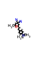 CC1=CC(C#N)(C#N)C=C(C=Cc2ccc(N(C)C)cc2)O1